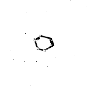 B1=NC=COO1